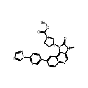 Cn1c(=O)n([C@H]2CCN(C(=O)OC(C)(C)C)C2)c2c3cc(-c4ccc(-n5cncn5)nc4)ccc3ncc21